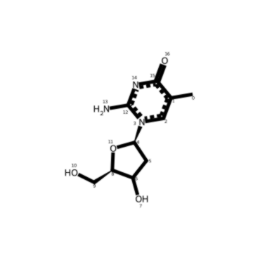 Cc1cn([C@H]2CC(O)[C@@H](CO)O2)c(N)nc1=O